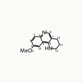 COc1ccc2ncc3c(c2c1)NCCC3